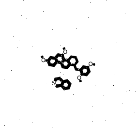 COc1ccc(OC)c(CC2CCCc3c2ccc2c3c(OC)cc3cc(OC)ccc32)c1.c1ccc2cnccc2c1